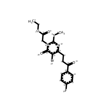 CCOC(=O)Cn1c(SC)nc(CCC(=O)c2ccc(F)cc2)c(Br)c1=O